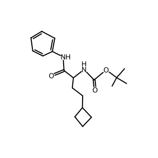 CC(C)(C)OC(=O)NC(CCC1CCC1)C(=O)Nc1ccccc1